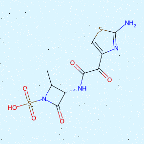 CC1[C@H](NC(=O)C(=O)c2csc(N)n2)C(=O)N1S(=O)(=O)O